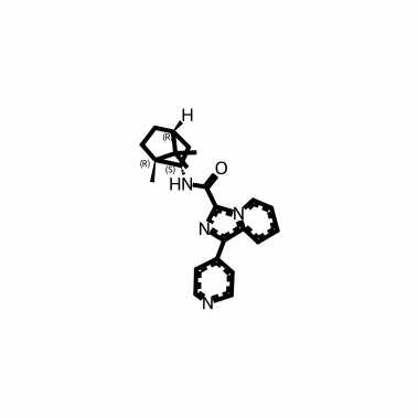 CC1(C)[C@@H]2CC[C@@]1(C)[C@@H](NC(=O)c1nc(-c3ccncc3)c3ccccn13)C2